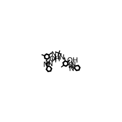 Cc1cc(CNCC(C)(C)CNCc2cc(C)cc(-n3nc4ccccc4n3)c2O)c(O)c(-n2nc3ccccc3n2)c1